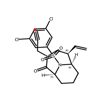 C=C[C@@H]1CN(CC#N)C(=O)[C@@H]2CCC[C@H]1N2S(=O)(=O)c1cc(Cl)cc(Cl)c1